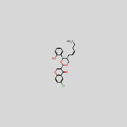 O=C(O)CC/C=C\C[C@H]1CO[C@@H](c2coc3ccc(Cl)cc3c2=O)O[C@H]1c1ccccc1O